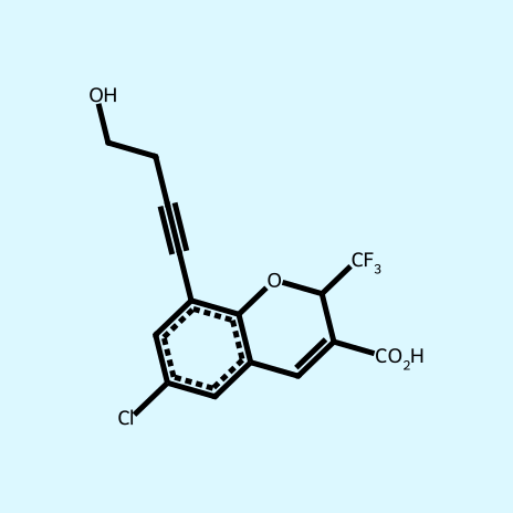 O=C(O)C1=Cc2cc(Cl)cc(C#CCCO)c2OC1C(F)(F)F